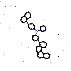 c1ccc(N(c2ccc(-c3cccc4ccccc34)cc2)c2cccc(-c3cccc4c3ccc3ccc5ccccc5c34)c2)cc1